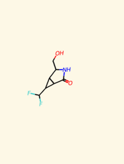 O=C1NC(CO)C2C1C2C(F)F